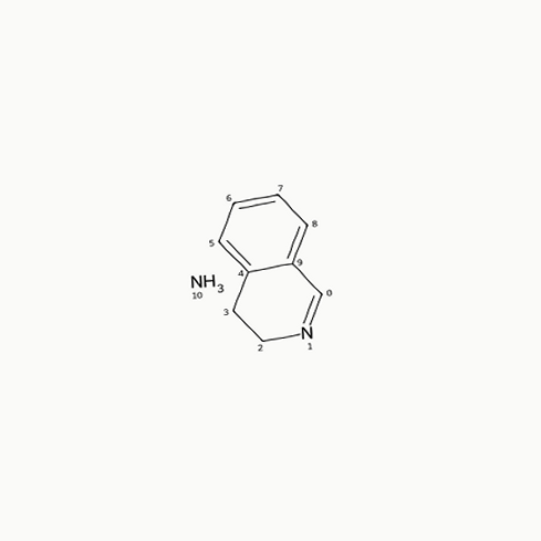 C1=NCCc2ccccc21.N